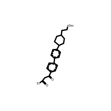 CCCCCCCCCCCCC1CCC(c2ccc(-c3ccc(C(=O)CC(=O)CC)cc3)cc2)CC1